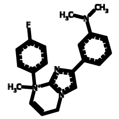 CN(C)c1cccc(-c2cn3c(n2)[N+](C)(c2ccc(F)cc2)C=CC3)c1